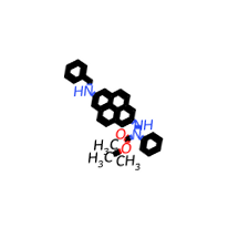 CC(C)(C)OC(=O)N(Nc1cc2ccc3cc(NCc4ccccc4)cc4ccc(c1)c2c34)c1ccccc1